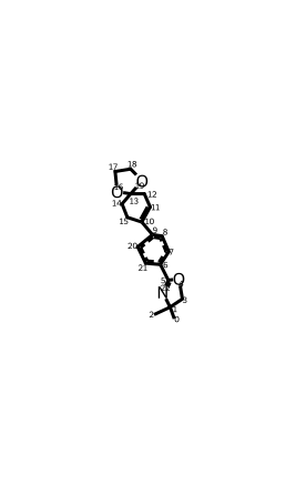 CC1(C)COC(c2ccc(C3=CCC4(CC3)OCCO4)cc2)=N1